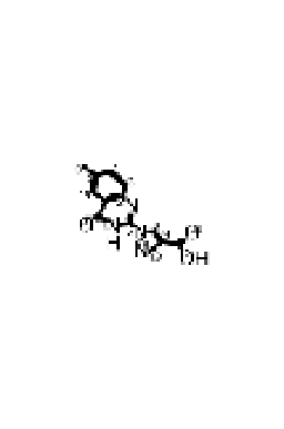 Cc1ccc2nc(-n3cc(C(=O)O)cn3)[nH]c(=O)c2c1